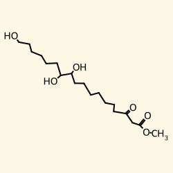 COC(=O)CC(=O)CCCCCCCC(O)C(O)CCCCCCO